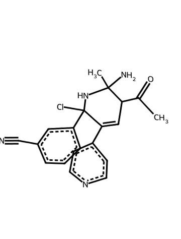 CC(=O)C1C=C(c2ccncc2)C(Cl)(c2cccc(C#N)c2)NC1(C)N